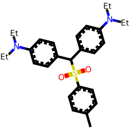 CCN(CC)c1ccc(C(c2ccc(N(CC)CC)cc2)S(=O)(=O)c2ccc(C)cc2)cc1